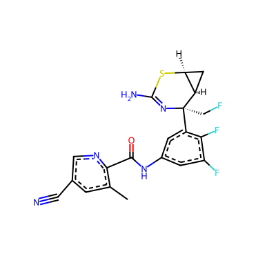 Cc1cc(C#N)cnc1C(=O)Nc1cc(F)c(F)c([C@@]2(CF)N=C(N)S[C@H]3C[C@H]32)c1